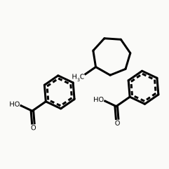 CC1CCCCCC1.O=C(O)c1ccccc1.O=C(O)c1ccccc1